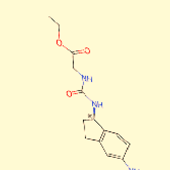 CCOC(=O)CNC(=O)N[C@@H]1CCc2cc(N)ccc21